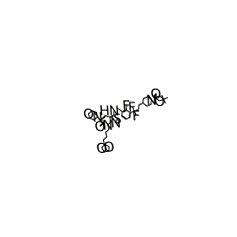 C[C@@H](Nc1snc2c1cc(N1CCOCC1)c(=O)n2CCCCC1OCCO1)c1cccc(C(F)(F)CCC2CCN(C(=O)OC(C)(C)C)CC2)c1F